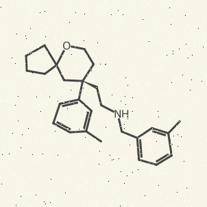 Cc1cccc(CNCC[C@]2(c3cccc(C)c3)CCOC3(CCCC3)C2)c1